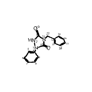 O=c1[nH]n(-c2ccccc2)c(=O)n1Cc1ccccc1